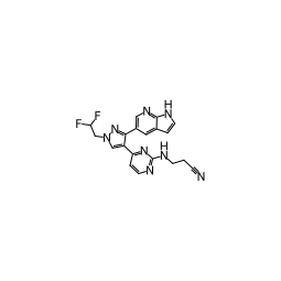 N#CCCNc1nccc(-c2cn(CC(F)F)nc2-c2cnc3[nH]ccc3c2)n1